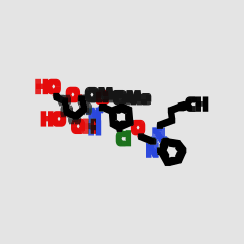 C#CCCCn1c(COc2cc(OC)c(C(=O)N[C@H]3[C@@H](OC)O[C@H](CO)[C@@H](O)[C@@H]3O)cc2Cl)nc2ccccc21